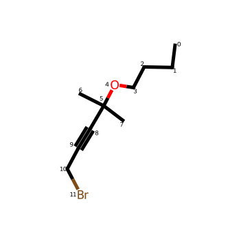 CCCCOC(C)(C)C#CCBr